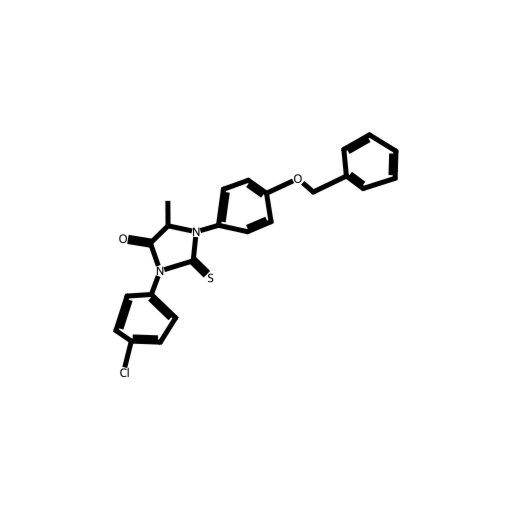 CC1C(=O)N(c2ccc(Cl)cc2)C(=S)N1c1ccc(OCc2ccccc2)cc1